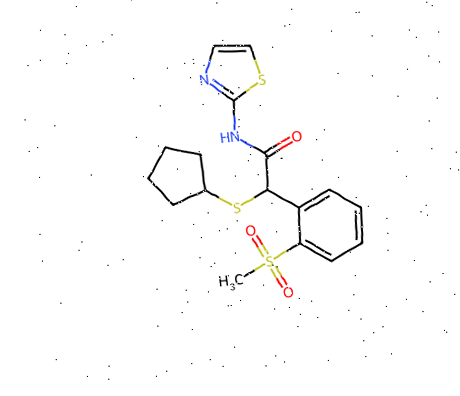 CS(=O)(=O)c1ccccc1C(SC1CCCC1)C(=O)Nc1nccs1